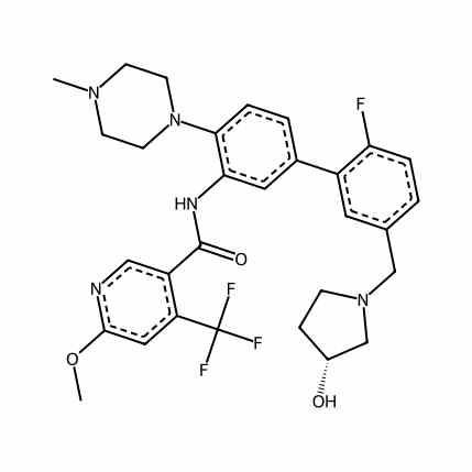 COc1cc(C(F)(F)F)c(C(=O)Nc2cc(-c3cc(CN4CC[C@@H](O)C4)ccc3F)ccc2N2CCN(C)CC2)cn1